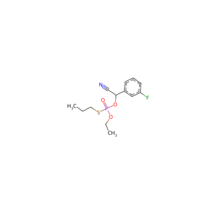 CCCSP(=O)(OCC)OC(C#N)c1cccc(F)c1